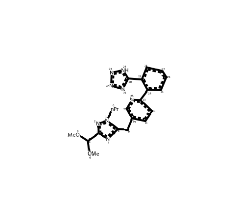 CCCn1nc(C(OC)OC)nc1Cc1ccc(-c2ccccc2-c2nnn[nH]2)nc1